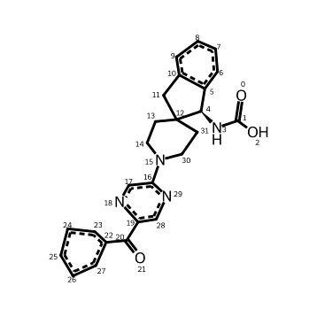 O=C(O)N[C@@H]1c2ccccc2CC12CCN(c1cnc(C(=O)c3ccccc3)cn1)CC2